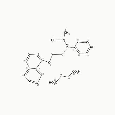 CN(C)[C@@H](CCOc1cccc2ccccc12)c1ccccc1.O=C(O)CCC(=O)O